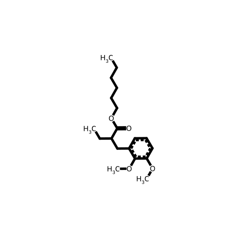 CCCCCCOC(=O)C(CC)Cc1cccc(OC)c1OC